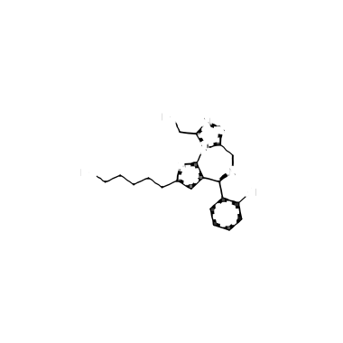 CCCCCCc1cc2c(s1)-n1c(CC)nnc1CN=C2c1ccccc1C